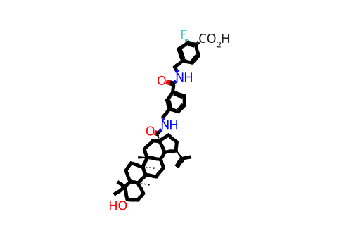 C=C(C)[C@@H]1CC[C@]2(C(=O)NCc3cccc(C(=O)NCc4ccc(C(=O)O)c(F)c4)c3)CC[C@]3(C)C(CCC4[C@@]5(C)CC[C@H](O)C(C)(C)C5CC[C@]43C)C12